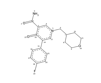 NC(=O)c1cn(CC2CCOCC2)cc(-c2ccc(F)cc2)c1=O